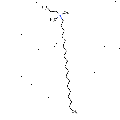 CCCCCCCCCCCCCCCCCCC[N+](C)(C)CCC